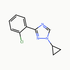 Clc1ccccc1-c1n[c]n(C2CC2)n1